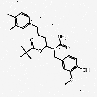 COc1cc(CN(C(N)=O)C(CCCc2ccc(C)c(C)c2)OC(=O)C(C)(C)C)ccc1O